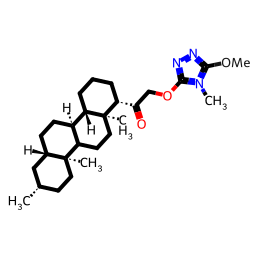 COc1nnc(OCC(=O)[C@H]2CCC[C@H]3[C@@H]4CC[C@H]5C[C@@H](C)CC[C@]5(C)C4CC[C@]23C)n1C